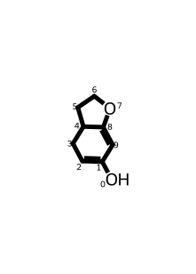 OC1=CCC2CCOC2=C1